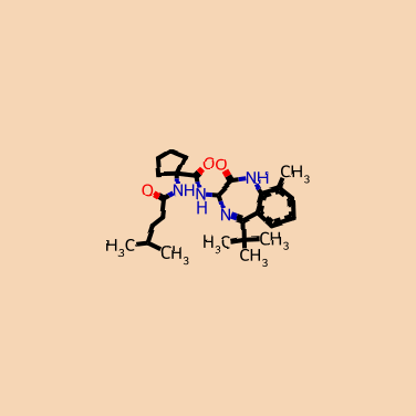 Cc1cccc2c1NC(=O)C(NC(=O)C1(NC(=O)CCC(C)C)CCCC1)N=C2C(C)(C)C